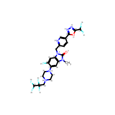 Cn1c(=O)n(Cc2ccc(-c3nnc(C(F)F)o3)cn2)c2cc(F)c(N3CCN(CC(F)(F)C(F)F)CC3)cc21